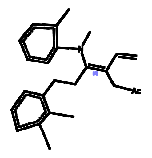 C=C/C(CC(C)=O)=C(/CCc1cccc(C)c1C)N(C)c1ccccc1C